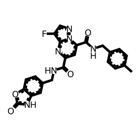 Cc1ccc(CNC(=O)c2cc(C(=O)NCc3ccc4oc(=O)[nH]c4c3)nc3c(F)cnn23)cc1